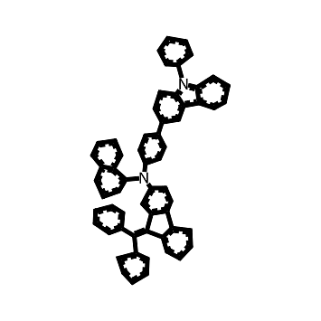 c1ccc(C(=C2c3ccccc3-c3ccc(N(c4ccc(-c5ccc6c(c5)c5ccccc5n6-c5ccccc5)cc4)c4cccc5ccccc45)cc32)c2ccccc2)cc1